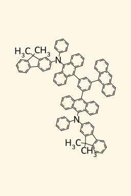 CC1(C)c2ccccc2-c2ccc(N(c3ccccc3)c3c4ccccc4c(-c4cc(-c5c6ccccc6cc6ccccc56)cc(-c5c6ccccc6c(N(c6ccccc6)c6ccc7c(c6)C(C)(C)c6ccccc6-7)c6ccccc56)c4)c4ccccc34)cc21